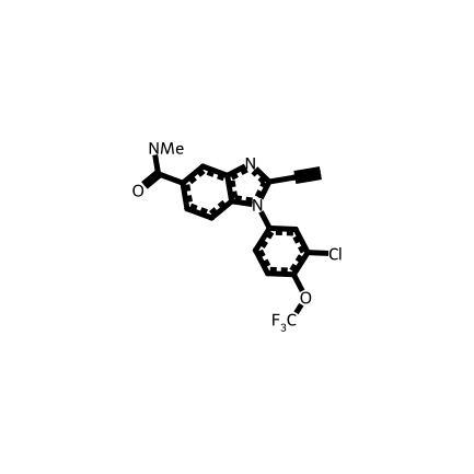 C#Cc1nc2cc(C(=O)NC)ccc2n1-c1ccc(OC(F)(F)F)c(Cl)c1